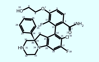 NC(=O)c1ccc(OCCO)c(F)c1-c1c(Cl)c(F)cc2c1C[C@@]1(c3ccccc3)CNCCN21